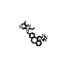 CCc1nc2c(C)cncc2n1Cc1ccc2c(c1)CCc1ccccc1C2=Cc1nnn[nH]1